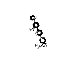 CC1(NN)CCN(c2ccc(-c3ccc(-n4cccn4)cc3O)nn2)CC1